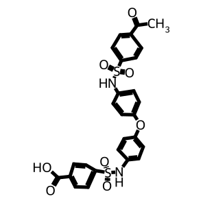 CC(=O)c1ccc(S(=O)(=O)Nc2ccc(Oc3ccc(NS(=O)(=O)c4ccc(C(=O)O)cc4)cc3)cc2)cc1